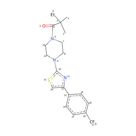 CCC(C)(C)C(=O)N1CCN(c2nc(-c3ccc(C(F)(F)F)cc3)cs2)CC1